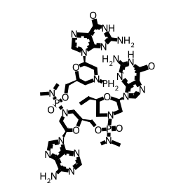 CC[C@@H]1CN(P(=O)(OC[C@@H]2CN(P(=O)(OC[C@@H]3CN(P)C[C@H](n4cnc5c(=O)[nH]c(N)nc54)O3)N(C)C)C[C@H](n3cnc4c(N)ncnc43)O2)N(C)C)C[C@H](n2cnc3c(=O)[nH]c(N)nc32)O1